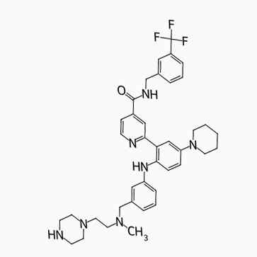 CN(CCN1CCNCC1)Cc1cccc(Nc2ccc(N3CCCCC3)cc2-c2cc(C(=O)NCc3cccc(C(F)(F)F)c3)ccn2)c1